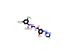 Cc1cc(C)cc([C@@H](CC=O)NC(=O)CNC(=O)c2cc(O)cc(NC3=NCC(F)CN3)c2)c1